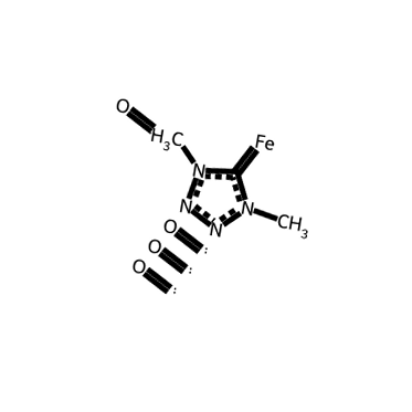 Cn1nnn(C)[c]1=[Fe].[C]=O.[C]=O.[C]=O.[C]=O